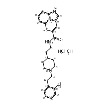 Cl.Cl.O=C(NCCC1CCN(CCc2ccccc2Cl)CC1)C1=Cc2cnc3cccc(n23)S1